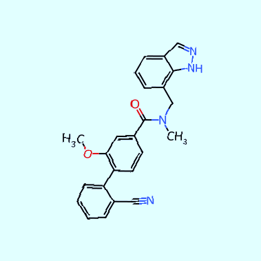 COc1cc(C(=O)N(C)Cc2cccc3cn[nH]c23)ccc1-c1ccccc1C#N